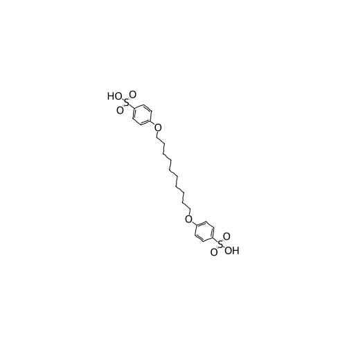 O=S(=O)(O)c1ccc(OCCCCCCCCCCOc2ccc(S(=O)(=O)O)cc2)cc1